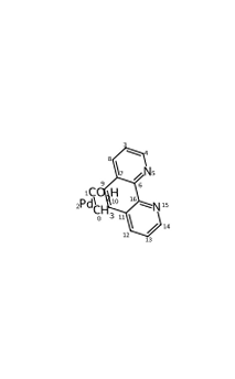 CC(=O)O.[Pd].c1cnc2c(c1)ccc1cccnc12